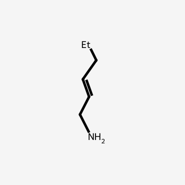 CCCC=CCN